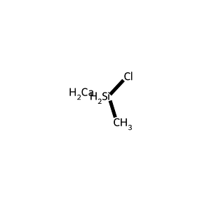 C[SiH2]Cl.[CaH2]